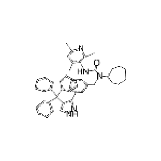 Cc1cc(C)c(NC(=O)N(Cc2cccc(-c3n[nH]cc3C(c3ccccc3)(c3ccccc3)c3ccccc3)c2)C2CCCCCC2)c(C)n1